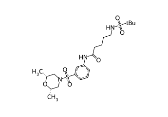 C[C@@H]1CN(S(=O)(=O)c2cccc(NC(=O)CCCCNS(=O)(=O)C(C)(C)C)c2)C[C@H](C)O1